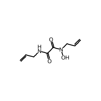 C=CCNC(=O)C(=O)N(O)CC=C